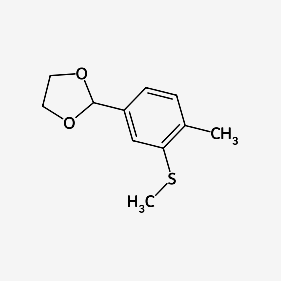 CSc1cc(C2OCCO2)ccc1C